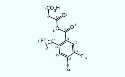 CCCC.O=C(O)CC(=O)OC(=O)c1cc(F)c(F)cc1Cl